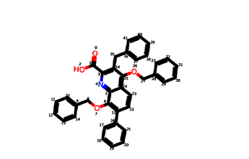 O=C(O)c1nc2c(OCc3ccccc3)c(-c3ccccc3)ccc2c(OCc2ccccc2)c1Cc1ccccc1